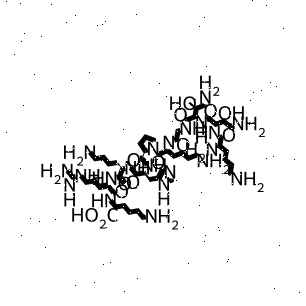 N=C(N)NCC/C=C(\NC(=O)[C@H](CCCCN)NC(=O)[C@H](Cc1cnc[nH]1)NC(=O)[C@@H]1CCCN1C(=O)/C(CCCCN)=N/C(=O)CNC(=O)[C@@H](NC(=O)[C@@H](NC(=O)[C@@H](N)CCCCN)[C@@H](O)CN)[C@@H](O)CN)C(=O)N[C@@H](CCCCN)C(=O)O